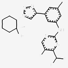 Cc1cc(Nc2ncc(F)c(C(F)F)n2)cc(-c2cn([C@H]3CCCC[C@]3(C)O)nn2)c1